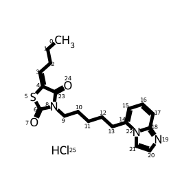 CCCC=C1SC(=O)N(CCCCCc2cccc3nccn23)C1=O.Cl